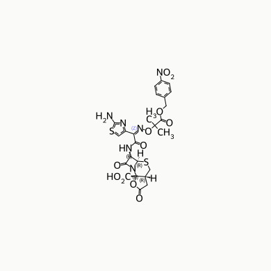 CC(C)(O/N=C(\C(=O)N[C@@H]1C(=O)N2[C@@H]1SC[C@@H]1CC(=O)O[C@@]12C(=O)O)c1csc(N)n1)C(=O)OCc1ccc([N+](=O)[O-])cc1